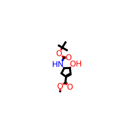 COC(=O)C1=C[C@H](O)[C@@H](NC(=O)OC(C)(C)C)C1